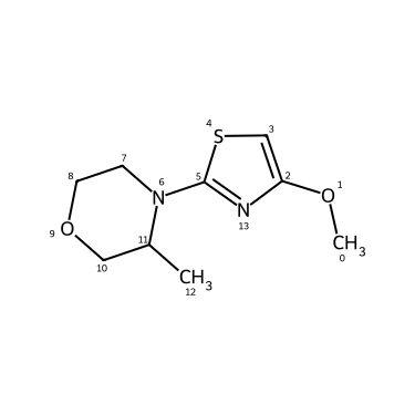 COc1csc(N2CCOCC2C)n1